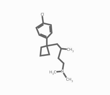 CC(CCN(C)C)CC1(c2ccc(Cl)cc2)CCC1